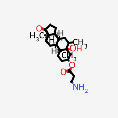 CC1C[C@@H]2[C@@H](CC[C@]3(C)C(=O)CC[C@@H]23)[C@@]2(C)CCC(OC(=O)CCN)CC12O